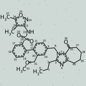 CCCc1nc2c(n1Cc1ccc(-c3ccccc3S(=O)(=O)Nc3noc(C)c3C)c(COC)c1)C(=O)CCCC2